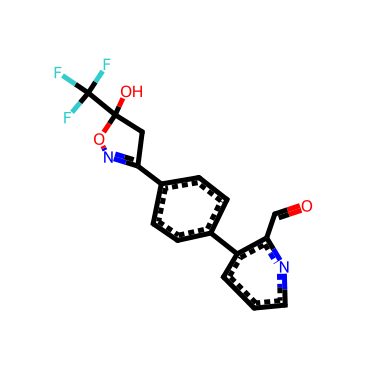 O=Cc1ncccc1-c1ccc(C2=NOC(O)(C(F)(F)F)C2)cc1